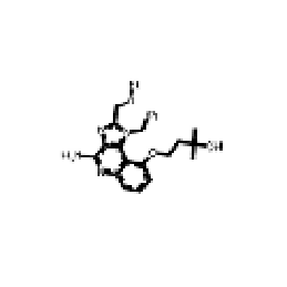 CCOCc1nc2c(N)nc3cccc(OCCC(C)(C)O)c3c2n1CC(C)C